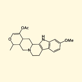 COc1ccc2c3c([nH]c2c1)C1CC2C(OC(C)=O)=COC(C)C2CN1CC3